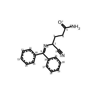 N#CC(CCC(N)=O)N=C(c1ccccc1)c1ccccc1